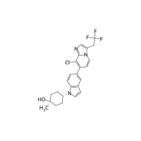 C[C@]1(O)CC[C@H](n2ccc3cc(-c4ccn5c(CC(F)(F)F)cnc5c4Cl)ccc32)CC1